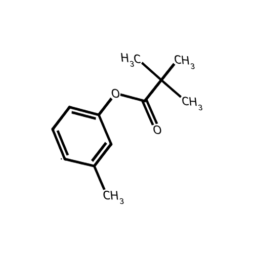 Cc1[c]ccc(OC(=O)C(C)(C)C)c1